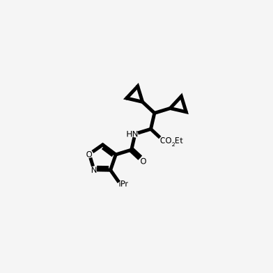 CCOC(=O)C(NC(=O)c1conc1C(C)C)C(C1CC1)C1CC1